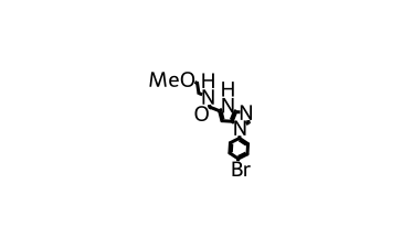 COCCNC(=O)c1cc2c(ncn2-c2ccc(Br)cc2)[nH]1